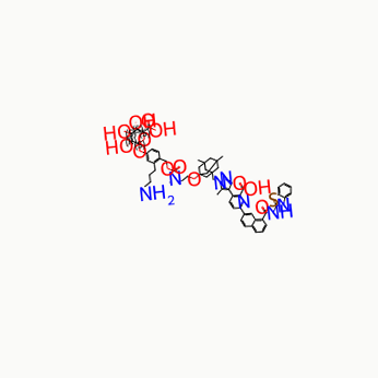 Cc1c(-c2ccc(-c3ccc4cccc(C(=O)Nc5nc6ccccc6s5)c4c3)nc2C(=O)O)cnn1CC12CC3(C)CC(C)(C1)CC(OCCN(C)C(=O)OCc1ccc(O[C@@H]4O[C@H](C(=O)O)[C@@H](O)[C@H](O)[C@H]4O)cc1CCCCN)(C3)C2